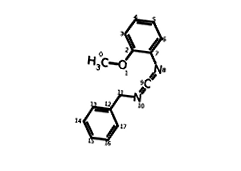 COc1ccccc1N=C=NCc1ccccc1